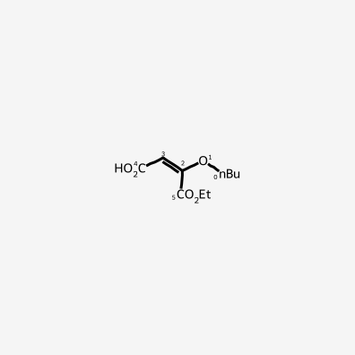 CCCCO/C(=C/C(=O)O)C(=O)OCC